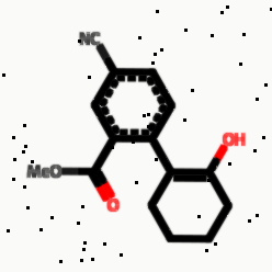 COC(=O)c1cc(C#N)ccc1C1=C(O)CCCC1